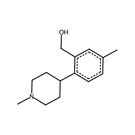 Cc1ccc(C2CCN(C)CC2)c(CO)c1